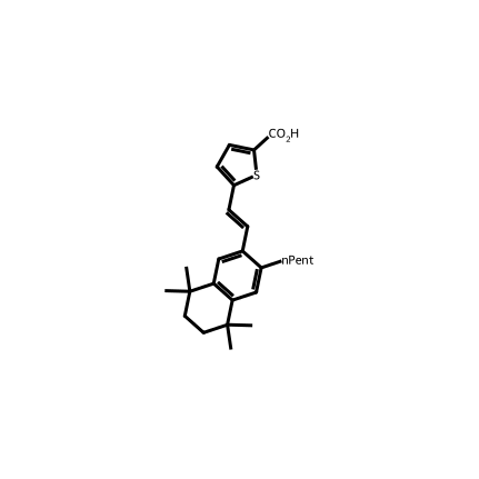 CCCCCc1cc2c(cc1/C=C/c1ccc(C(=O)O)s1)C(C)(C)CCC2(C)C